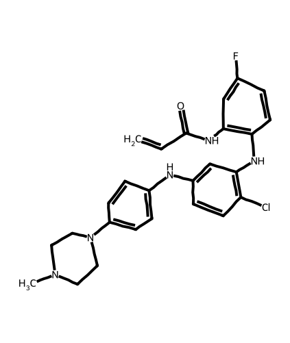 C=CC(=O)Nc1cc(F)ccc1Nc1cc(Nc2ccc(N3CCN(C)CC3)cc2)ccc1Cl